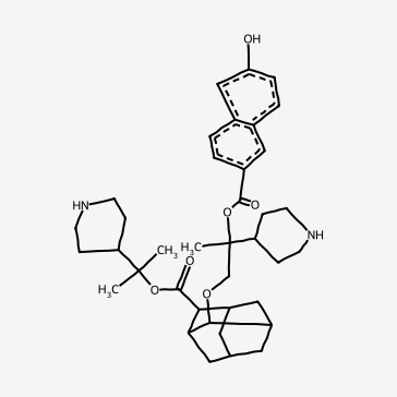 CC(C)(OC(=O)C1C2CC3CC(C2)C(OCC(C)(OC(=O)c2ccc4cc(O)ccc4c2)C2CCNCC2)C1C3)C1CCNCC1